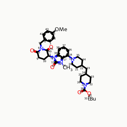 COc1ccc(CN2C(=O)CCC(n3c(=O)n(C)c4c(N5CCC(CC6CCN(C(=O)OC(C)(C)C)CC6)CC5)cccc43)C2=O)cc1